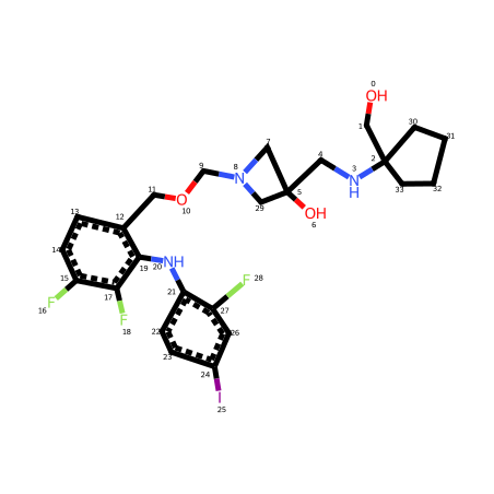 OCC1(NCC2(O)CN(COCc3ccc(F)c(F)c3Nc3ccc(I)cc3F)C2)CCCC1